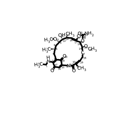 CCNC1=C2C[C@@H](C)C[C@H](OC)[C@H](O)[C@@H](C)C=C(C)[C@H](OC(N)=O)[C@@H](OC)CCC=C(C)C(=O)NC(=CC1=O)C2=O